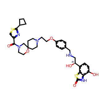 O=C(c1csc(C2CCC2)n1)N1CCOC2(CCN(CCOc3ccc(CNC[C@H](O)c4ccc(O)c5[nH]c(=O)sc45)cc3)CC2)C1